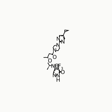 CC(CC(=O)N1CCN(c2ncc(C3CC3)cn2)CC1)OC[C@H](C)Nc1cn[nH]c(=O)c1C(F)(F)F